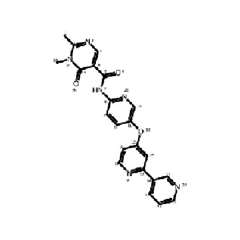 Cc1ncc(C(=O)Nc2ccc(Oc3ccnc(-c4cccnc4)c3)cn2)c(=O)n1C